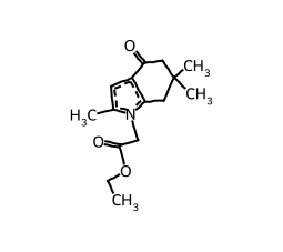 CCOC(=O)Cn1c(C)cc2c1CC(C)(C)CC2=O